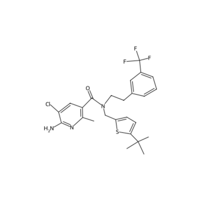 Cc1nc(N)c(Cl)cc1C(=O)N(CCc1cccc(C(F)(F)F)c1)Cc1ccc(C(C)(C)C)s1